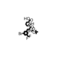 CC(C)(C)OC(=O)NC(Cc1cc(Br)cc(C(F)F)c1)C(=O)N1CCCC(C(=O)O)N1